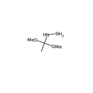 COC(C)(N[SiH3])OC